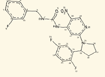 O=C(NCc1cccc(F)c1)Nc1cc(N2CCCC2c2cc(F)ccc2F)ncc1[N+](=O)[O-]